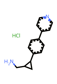 Cl.NCC1CC1c1ccc(-c2ccncc2)cc1